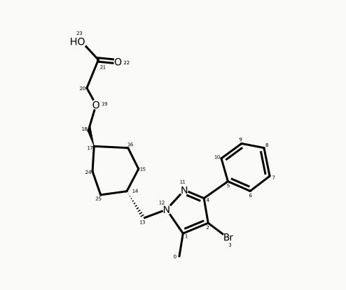 Cc1c(Br)c(-c2ccccc2)nn1C[C@H]1CC[C@H](COCC(=O)O)CC1